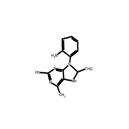 Cc1nc(S)nc2c1NC(C=O)N2c1ccccc1N